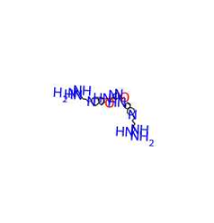 N=C(N)NCCCCN1CCc2ccc(NC(=O)c3cc(C(=O)Nc4ccc5c(c4)CCN(CCCCNC(=N)N)CC5)ncn3)cc2CC1